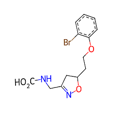 O=C(O)NCC1=NOC(CCOc2ccccc2Br)C1